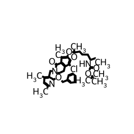 CCC(CCCC1(C)Oc2c(C)c3c(c(Cl)c2O1)CCN(Cc1c(C)cc(C)nc1OCc1ccccc1)C3=O)NC(=O)OC(C)(C)C